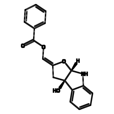 O=C(O/C=C1/C[C@@]2(O)c3ccccc3N[C@H]2O1)c1ccccc1